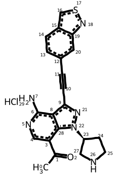 CC(=O)c1cnc(N)c2c(C#Cc3ccc4csnc4c3)nn([C@H]3CCNC3)c12.Cl